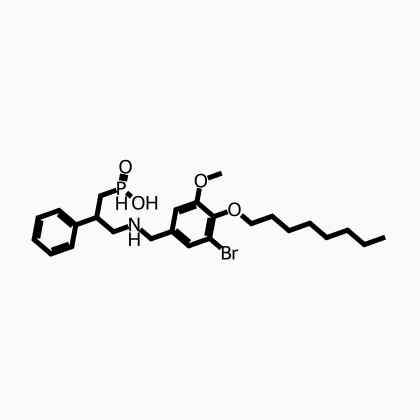 CCCCCCCCOc1c(Br)cc(CNCC(C[PH](=O)O)c2ccccc2)cc1OC